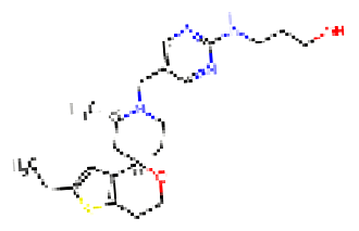 CCc1cc2c(s1)CCO[C@@]21CCN(Cc2cnc(NCCCO)nc2)[C@@H](C)C1